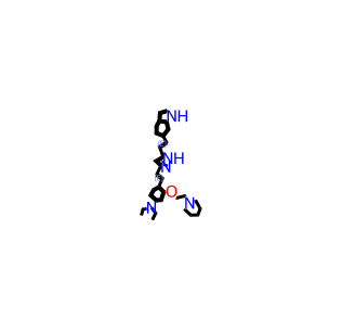 CCN(CC)c1ccc(/C=C/c2cc(/C=C/c3ccc4cc[nH]c4c3)[nH]n2)c(OCCN2CCCCC2)c1